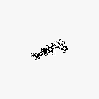 Cc1c(CN2CCN(C(=O)C3CCCC3)[C@@H](C)C2)cc(Cl)cc1NC(=O)COCC(C)(C)C#N